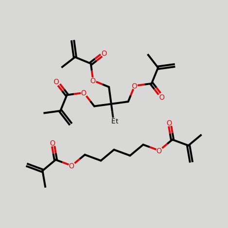 C=C(C)C(=O)OCC(CC)(COC(=O)C(=C)C)COC(=O)C(=C)C.C=C(C)C(=O)OCCCCCOC(=O)C(=C)C